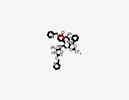 CC(C)[C@H](NC(=O)OCc1ccccn1)C(=O)N[C@@H](Cc1ccccc1)C[C@H](OC(=O)C(F)(F)F)[C@H](Cc1ccccc1)NC(=O)[C@@H](NC(=O)OCc1ccccn1)C(C)C